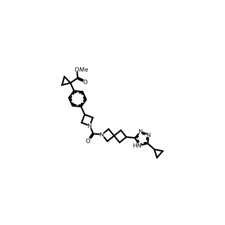 COC(=O)C1(c2ccc(C3CN(C(=O)N4CC5(CC(c6nnc(C7CC7)[nH]6)C5)C4)C3)cc2)CC1